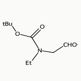 CCN(C[C]=O)C(=O)OC(C)(C)C